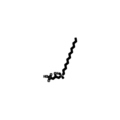 CCCCCCCCCCCCCC[N+](C)(C)CC(O)CS(=O)(=O)O